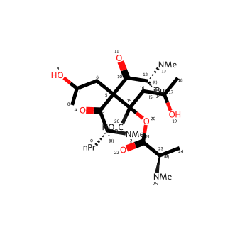 CCC[C@@H](NC)C(=O)C(CC(C)O)(C(=O)[C@H](NC)[C@@H](C)CC)C(CC(C)O)(OC(=O)[C@@H](C)NC)C(=O)O